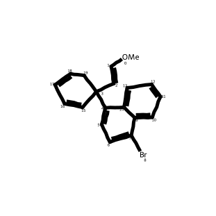 COC=CC1(c2ccc(Br)c3ccccc23)C=CC=CC1